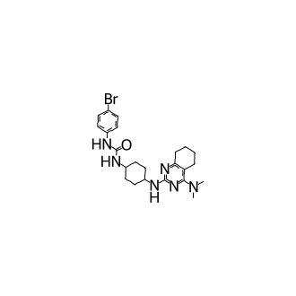 CN(C)c1nc(NC2CCC(NC(=O)Nc3ccc(Br)cc3)CC2)nc2c1CCCC2